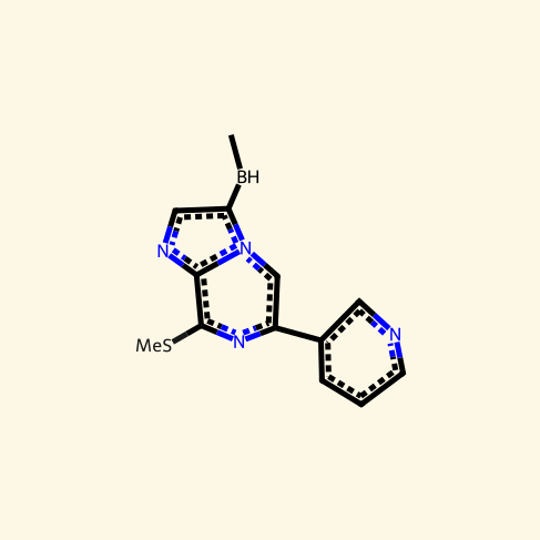 CBc1cnc2c(SC)nc(-c3cccnc3)cn12